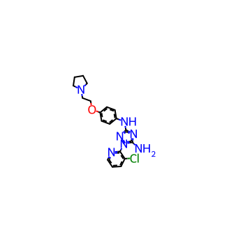 Nc1nc(Nc2ccc(OCCN3CCCC3)cc2)nn1-c1ncccc1Cl